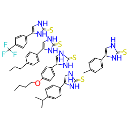 CC(C)c1ccc(-c2c[nH]c(=S)[nH]2)cc1.CCCCOc1ccc(-c2c[nH]c(=S)[nH]2)cc1.CCCc1ccc(-c2c[nH]c(=S)[nH]2)cc1.Cc1ccc(-c2c[nH]c(=S)[nH]2)cc1.FC(F)(F)c1ccc(-c2c[nH]c(=S)[nH]2)cc1